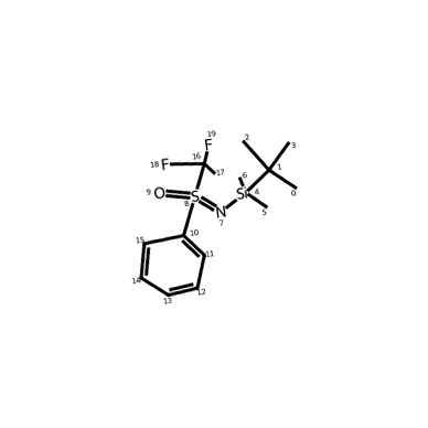 CC(C)(C)[Si](C)(C)N=S(=O)(c1ccccc1)C(C)(F)F